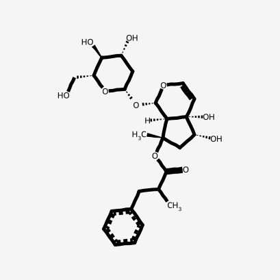 CC(Cc1ccccc1)C(=O)O[C@@]1(C)C[C@@H](O)[C@]2(O)C=CO[C@@H](O[C@H]3C[C@@H](O)[C@H](O)[C@@H](CO)O3)[C@@H]21